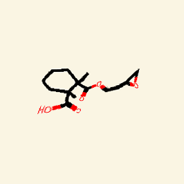 CC1(C(=O)O)CCCCC1(C)C(=O)OCC1CO1